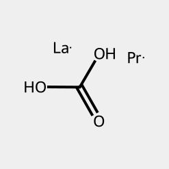 O=C(O)O.[La].[Pr]